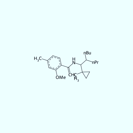 C=C(NC(C(CCC)CCCC)C1(C)CC1)c1ccc(C)cc1OC